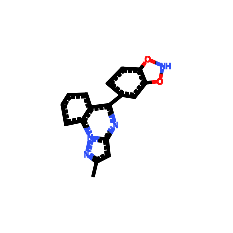 Cc1cc2nc(-c3ccc4c(c3)ONO4)c3ccccc3n2n1